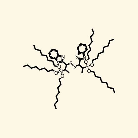 CCCCCCCCO[Si](OCCCCCCCC)(OCCCCCCCC)C(C)C(SSC(c1nc2ccccc2s1)C(C)[Si](OCCCCCCCC)(OCCCCCCCC)OCCCCCCCC)c1nc2ccccc2s1